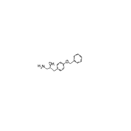 NC[C@@H](O)Cc1ccc(OCc2ccccc2)cc1